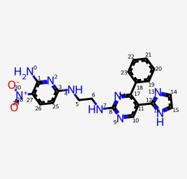 Nc1nc(NCCNc2ncc(-c3ncc[nH]3)c(-c3ccccc3)n2)ccc1[N+](=O)[O-]